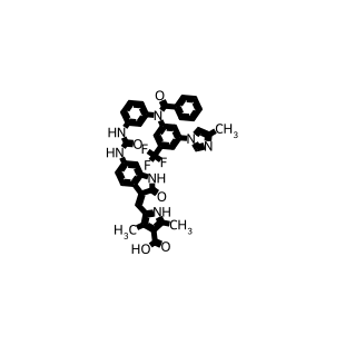 Cc1cn(-c2cc(N(C(=O)c3ccccc3)c3cccc(NC(=O)Nc4ccc5c(c4)NC(=O)C5=Cc4[nH]c(C)c(C(=O)O)c4C)c3)cc(C(F)(F)F)c2)cn1